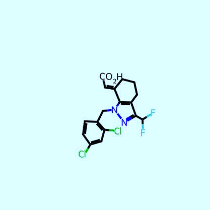 O=C(O)/C=C1\CCCc2c(C(F)F)nn(Cc3ccc(Cl)cc3Cl)c21